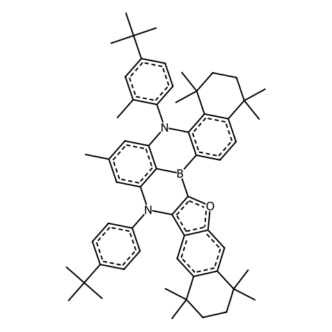 Cc1cc2c3c(c1)N(c1ccc(C(C)(C)C)cc1)c1c(oc4cc5c(cc14)C(C)(C)CCC5(C)C)B3c1ccc3c(c1N2c1ccc(C(C)(C)C)cc1C)C(C)(C)CCC3(C)C